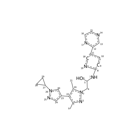 Cc1nn(CC(O)Nc2ccc(-c3cnccn3)cn2)c(C)c1-c1cnn(C2CC2)c1